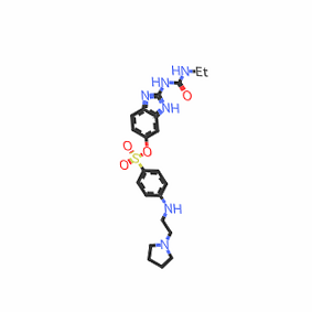 CCNC(=O)Nc1nc2ccc(OS(=O)(=O)c3ccc(NCCN4CCCC4)cc3)cc2[nH]1